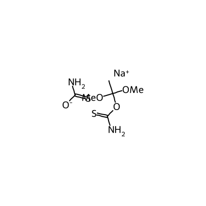 COC(C)(OC)OC(N)=S.NC([O-])=S.[Na+]